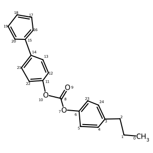 CCCc1ccc(OC(=O)Oc2ccc(-c3ccccc3)cc2)cc1